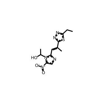 CCc1nnc(/C(C)=C/c2ncc([N+](=O)[O-])n2C(C)O)s1